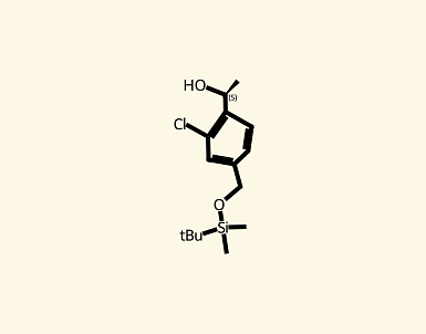 C[C@H](O)c1ccc(CO[Si](C)(C)C(C)(C)C)cc1Cl